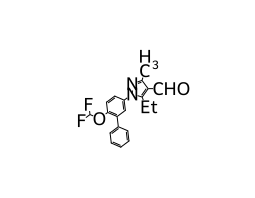 CCc1c(C=O)c(C)nn1-c1ccc(OC(F)F)c(-c2ccccc2)c1